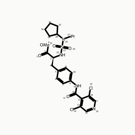 COC(=O)[C@H](Cc1ccc(NC(=O)c2c(Cl)cncc2Cl)cc1)NS(=O)(=O)N(C(C)C)C1CCCC1